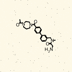 CC(=O)N1CCCN(C(=O)c2ccc(-c3cccc(CN(C)C(=O)CN)c3)cc2)CC1